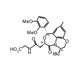 COc1cccc([C@H]2O[C@H](CC(=O)NCC(=O)O)C(=O)N3c4c(cc(C)cc42)OC[C@H]3C(C)(C)C)c1OC